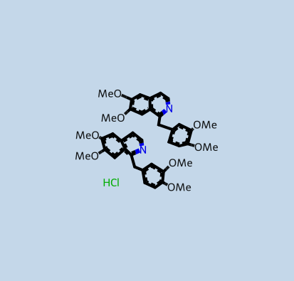 COc1ccc(Cc2nccc3cc(OC)c(OC)cc23)cc1OC.COc1ccc(Cc2nccc3cc(OC)c(OC)cc23)cc1OC.Cl